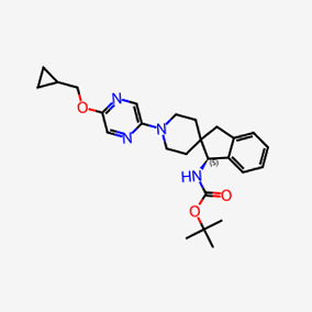 CC(C)(C)OC(=O)N[C@@H]1c2ccccc2CC12CCN(c1cnc(OCC3CC3)cn1)CC2